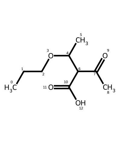 CCCOC(C)C(C(C)=O)C(=O)O